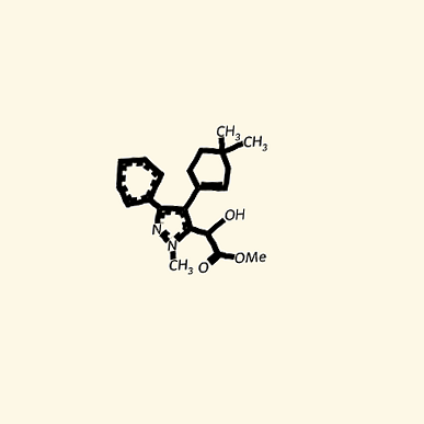 COC(=O)C(O)c1c(C2=CCC(C)(C)CC2)c(-c2ccccc2)nn1C